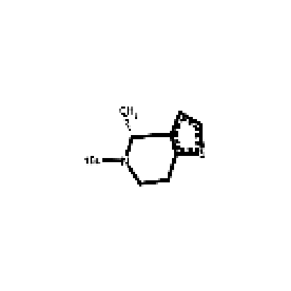 C[C@@H]1c2ccsc2CCN1C(C)(C)C